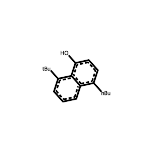 CCCCc1ccc(O)c2c(C(C)(C)C)cccc12